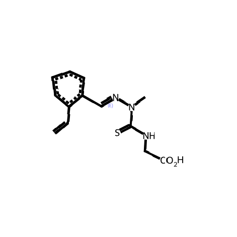 C=Cc1ccccc1/C=N/N(C)C(=S)NCC(=O)O